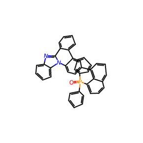 O=P(c1ccccc1)(c1ccccc1)c1cccc2cccc(-c3ccc4c(c3)c3ccccc3c3nc5ccccc5n43)c12